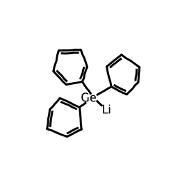 [Li][Ge]([c]1ccccc1)([c]1ccccc1)[c]1ccccc1